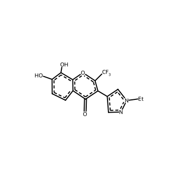 CCn1cc(-c2c(C(F)(F)F)oc3c(O)c(O)ccc3c2=O)cn1